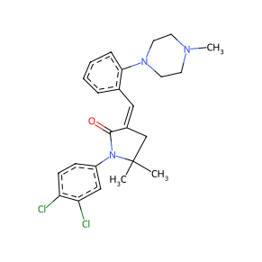 CN1CCN(c2ccccc2C=C2CC(C)(C)N(c3ccc(Cl)c(Cl)c3)C2=O)CC1